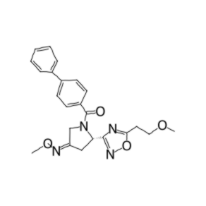 COCCc1nc([C@@H]2CC(=NOC)CN2C(=O)c2ccc(-c3ccccc3)cc2)no1